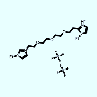 CCn1cc[n+](CCOCCOCCOCCc2[nH+]ccn2CC)c1.F[B-](F)(F)F.F[B-](F)(F)F